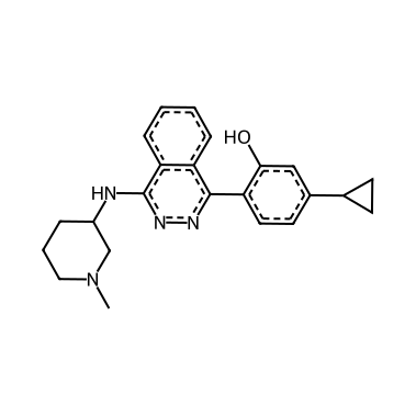 CN1CCCC(Nc2nnc(-c3ccc(C4CC4)cc3O)c3ccccc23)C1